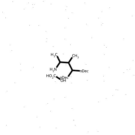 CCCCCCCCCCC(CCCCCCCCCC)C(C)C(C)N.O=C(O)O